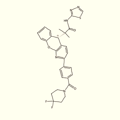 CC(C)(C(=O)Nc1nncs1)[C@H]1c2ccccc2Oc2nc(-c3ccc(C(=O)N4CCC(F)(F)CC4)cc3)ccc21